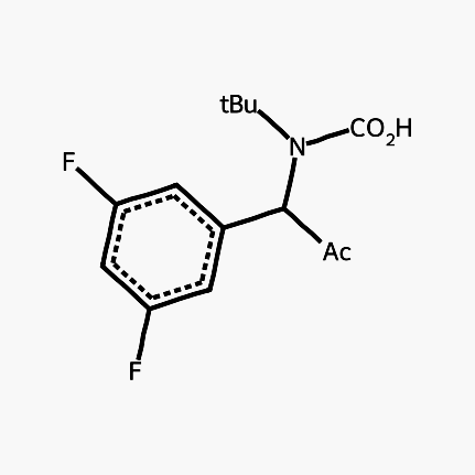 CC(=O)C(c1cc(F)cc(F)c1)N(C(=O)O)C(C)(C)C